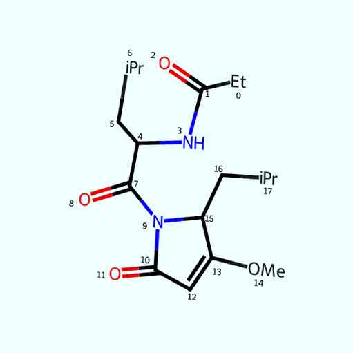 CCC(=O)NC(CC(C)C)C(=O)N1C(=O)C=C(OC)C1CC(C)C